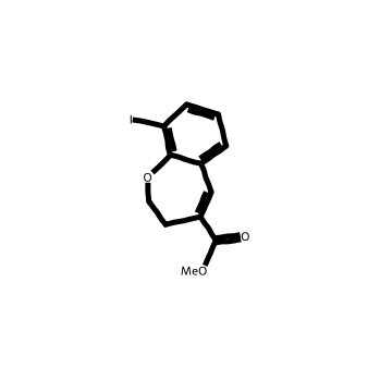 COC(=O)C1=Cc2cccc(I)c2OCC1